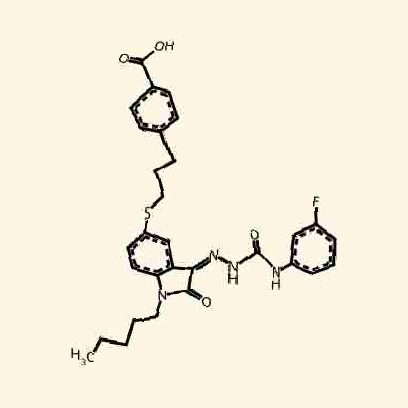 CCCCCN1C(=O)/C(=N\NC(=O)Nc2cccc(F)c2)c2cc(SCCCc3ccc(C(=O)O)cc3)ccc21